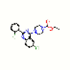 CCOC(=O)N1CCN(c2nc(-c3ccccc3Cl)nc3ccc(Cl)cc23)CC1